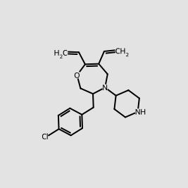 C=CC1=C(C=C)OCC(Cc2ccc(Cl)cc2)N(C2CCNCC2)C1